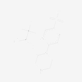 CS(=O)(=O)c1ccc(N2CCNCC2)nc1.O=C(O)C(F)(F)F